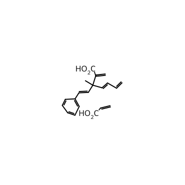 C=CC(=O)O.C=CC=CC(C)(C=Cc1ccccc1)C(=C)C(=O)O